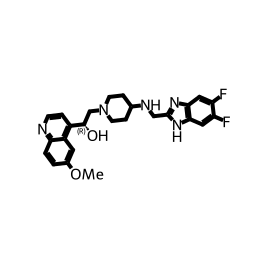 COc1ccc2nccc([C@@H](O)CN3CCC(NCc4nc5cc(F)c(F)cc5[nH]4)CC3)c2c1